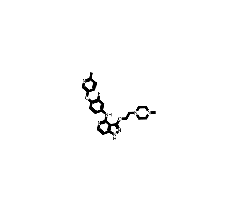 Cc1ccc(Oc2ccc(Nc3nccc4[nH]nc(OCCN5CCN(C)CC5)c34)cc2F)cn1